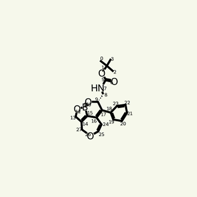 CC(C)(C)OC(=O)NC[C@H]1OB2OCC3=C2C(=C1c1ccccc1)C=COC3